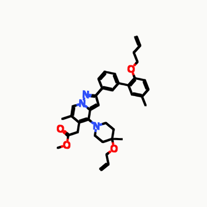 C=CCCOc1ccc(C)cc1-c1cccc(-c2cc3c(N4CCC(C)(OCC=C)CC4)c(CC(=O)OC)c(C)cn3n2)c1